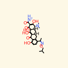 C/C(=N/OCC(C)C)c1ccc(O)c2c1C[C@@H]1C[C@H]3[C@H](N(C)C)C(O)=C(C(N)=O)C(=O)[C@@]3(O)C(O)=C1C2=O